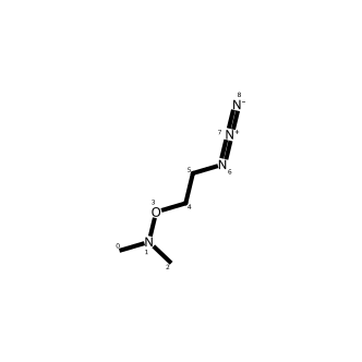 CN(C)OCCN=[N+]=[N-]